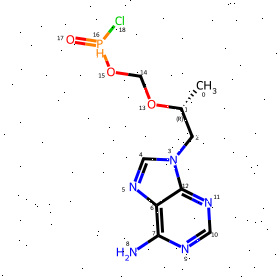 C[C@H](Cn1cnc2c(N)ncnc21)OCO[PH](=O)Cl